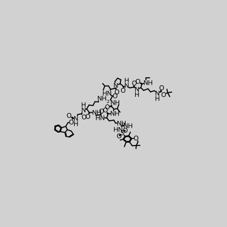 CCNC(=O)C(CCCCNC(=O)OC(C)(C)C)NC(=O)CNC(=O)C1CCCN1C(=O)C(CC(C)C)NC(=O)CNC(=O)C(NC(=O)C(CCCNC(=N)NS(=O)(=O)c1c(C)c(C)c2c(c1C)OCC(C)(C)C2)NC(=O)CNC(=O)C(CCCCN)NC(=O)CNC(=O)OCC1c2ccccc2C2=CC=CCC21)C(C)C